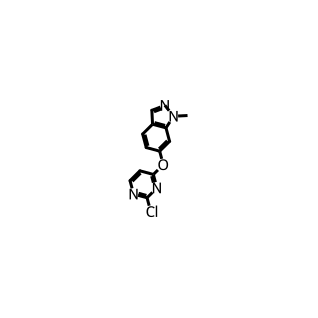 Cn1ncc2ccc(Oc3ccnc(Cl)n3)cc21